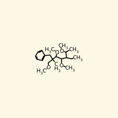 CCC(C(C)OC)C(OC)C(OC)C(C)(COC)Cc1ccccc1